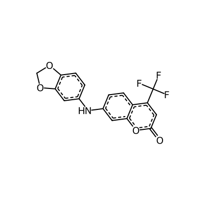 O=c1cc(C(F)(F)F)c2ccc(Nc3ccc4c(c3)OCO4)cc2o1